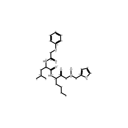 CCCCC(NC(=O)C(CC(C)C)NC(=O)COc1ccccc1)C(=O)C[S+]([O-])Cc1ccco1